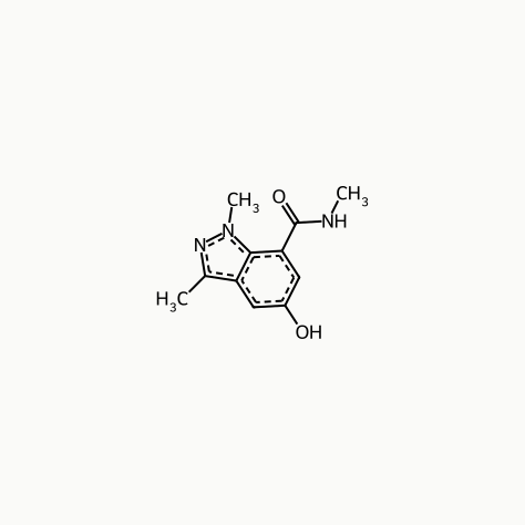 CNC(=O)c1cc(O)cc2c(C)nn(C)c12